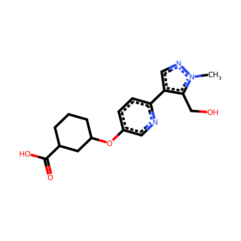 Cn1ncc(-c2ccc(OC3CCCC(C(=O)O)C3)cn2)c1CO